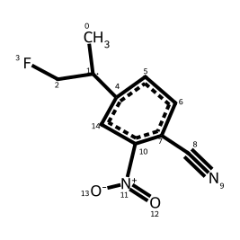 C[C](CF)c1ccc(C#N)c([N+](=O)[O-])c1